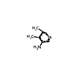 Cc1[c]ncc(N)c1C